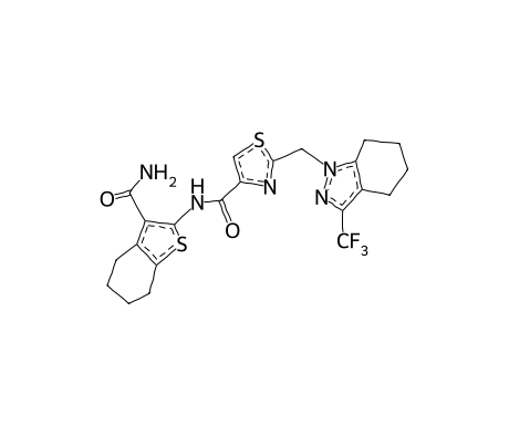 NC(=O)c1c(NC(=O)c2csc(Cn3nc(C(F)(F)F)c4c3CCCC4)n2)sc2c1CCCC2